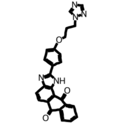 O=C1c2ccccc2C(=O)c2c1ccc1nc(-c3ccc(OCCCn4cncn4)cc3)[nH]c21